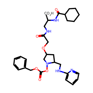 O=C(COC1CC(CNc2ccccn2)N(OC(=O)OCc2ccccc2)C1)NCC(NC(=O)C1CCCCC1)C(=O)O